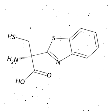 N[C@@](CS)(C(=O)O)c1nc2ccccc2s1